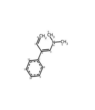 C=C/C(=C\N(C)C)c1ccccc1